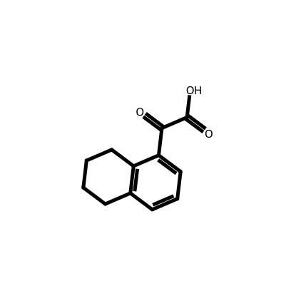 O=C(O)C(=O)c1cccc2c1CCCC2